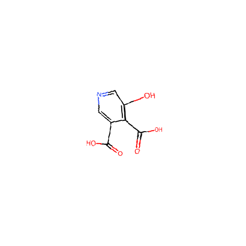 O=C(O)c1cncc(O)c1C(=O)O